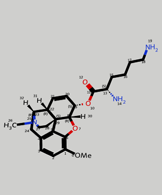 COc1ccc2c3c1O[C@H]1[C@@H](OC(=O)[C@@H](N)CCCCN)C=C[C@H]4[C@@H](C2)N(C)CC[C@@]341